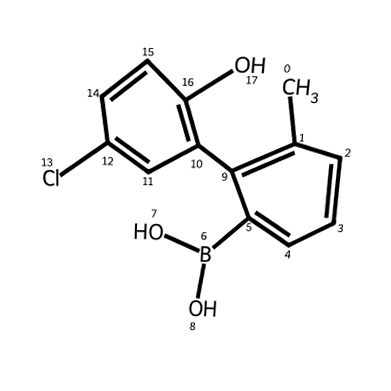 Cc1cccc(B(O)O)c1-c1cc(Cl)ccc1O